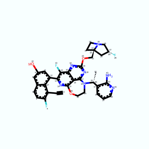 C#Cc1c(F)ccc2cc(O)cc(-c3nc4c5c(nc(OC[C@@]67CCN6C[C@H](F)C7)nc5c3F)N([C@H](C)c3cccnc3N)CCO4)c12